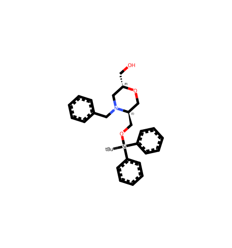 CC(C)(C)[Si](OC[C@@H]1CO[C@@H](CO)CN1Cc1ccccc1)(c1ccccc1)c1ccccc1